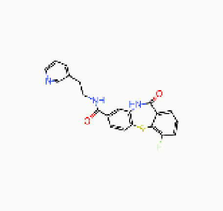 O=C(NCCc1cccnc1)c1ccc2c(c1)NC(=O)c1cccc(F)c1S2